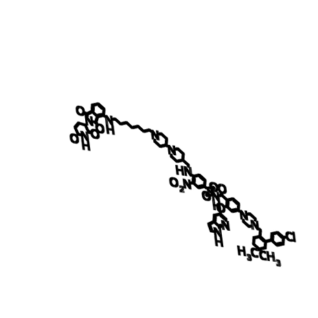 CC1(C)CCC(CN2CCN(c3ccc(C(=O)NS(=O)(=O)c4ccc(NCC5CCN(C6CCN(CCCCCCCNc7cccc8c7C(=O)N(C7CCC(=O)NC7=O)C8=O)CC6)CC5)c([N+](=O)[O-])c4)c(Oc4cnc5[nH]ccc5c4)c3)CC2)=C(c2ccc(Cl)cc2)C1